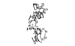 CN(C)c1nc(N[C@H]2CC[C@@H](NC(=O)Nc3c(Cl)cccc3Cl)CC2)nc2c1CCCC2